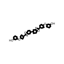 Oc1cccc(Oc2ccc(-c3nc4cc(-c5ccc6oc(-c7ccc(Oc8cccc(O)c8)cc7)nc6c5)ccc4o3)cc2)c1